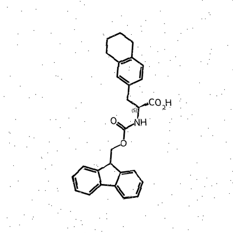 O=C(N[C@@H](Cc1ccc2c(c1)CCCC2)C(=O)O)OCC1c2ccccc2-c2ccccc21